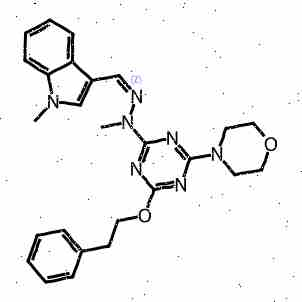 CN(/N=C\c1cn(C)c2ccccc12)c1nc(OCCc2ccccc2)nc(N2CCOCC2)n1